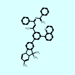 C=C(/N=C(\C=C(/C)c1cc(-c2ccc3c(c2)C(C)(C)C2C=C(C)C=CC32)cc(-c2cccc3cccnc23)c1)c1ccccc1)c1ccccc1